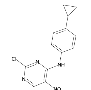 O=[N+]([O-])c1cnc(Cl)nc1Nc1ccc(C2CC2)cc1